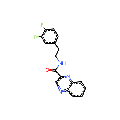 O=C(NCCc1ccc(F)c(F)c1)c1cnc2ccccc2n1